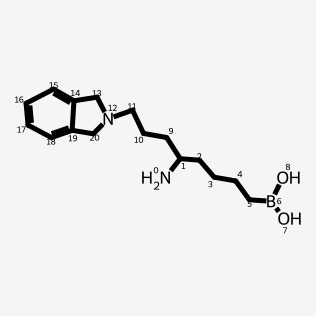 NC(CCCCB(O)O)CCCN1Cc2ccccc2C1